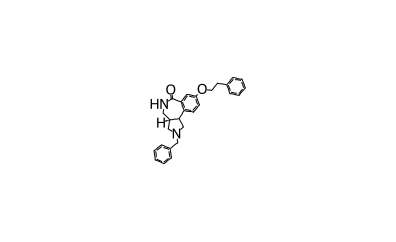 O=C1NC[C@H]2CN(Cc3ccccc3)CC2c2ccc(OCCc3ccccc3)cc21